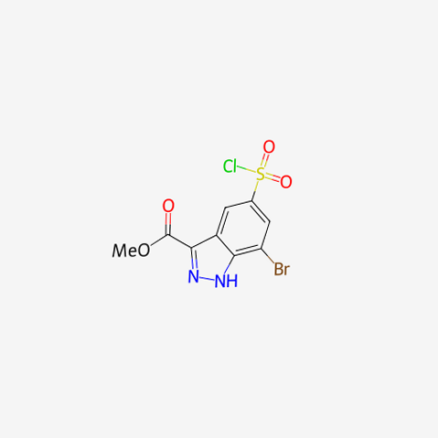 COC(=O)c1n[nH]c2c(Br)cc(S(=O)(=O)Cl)cc12